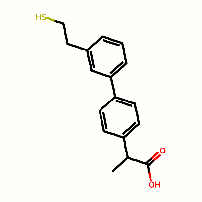 CC(C(=O)O)c1ccc(-c2cccc(CCS)c2)cc1